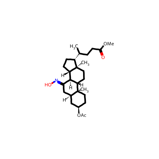 COC(=O)CCC(C)[C@H]1CC[C@H]2[C@@H]3C(=NO)C[C@@H]4C[C@H](OC(C)=O)CC[C@]4(C)[C@H]3CC[C@]12C